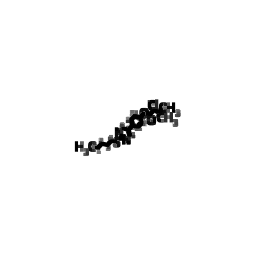 CCCCCSc1ncc(-c2ccc(OC(=O)[C@@H](Cl)C(C)C)cc2)cn1